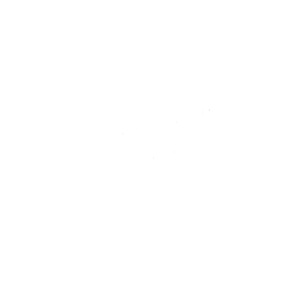 CC(C)(C)O[O-].CC(C)(C)O[O-].CC(C)[O-].CC(C)[O-].[Ti+4]